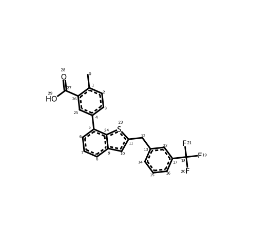 Cc1ccc(-c2cccc3cc(Cc4cccc(C(F)(F)F)c4)sc23)cc1C(=O)O